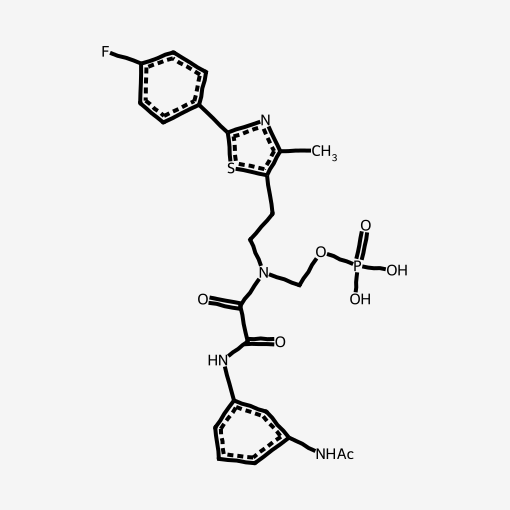 CC(=O)Nc1cccc(NC(=O)C(=O)N(CCc2sc(-c3ccc(F)cc3)nc2C)COP(=O)(O)O)c1